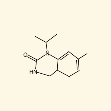 CC1=CCC2CNC(=O)N(C(C)C)C2=C1